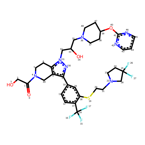 O=C(CO)N1CCc2c(c(-c3ccc(C(F)(F)F)c(SCCN4CCC(F)(F)C4)c3)nn2CC(O)CN2CCC(Oc3ncccn3)CC2)C1